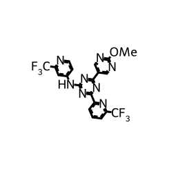 COc1ncc(-c2nc(Nc3ccnc(C(F)(F)F)c3)nc(-c3cccc(C(F)(F)F)n3)n2)cn1